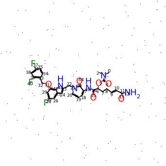 CN(C)C(=O)OC(CCC=CC(N)=O)C(=O)Nc1cccn(Cc2cc3cc(F)cc(OCc4ccc(F)cc4F)c3[nH]2)c1=O